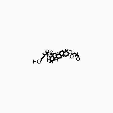 CC(C[CH]CO)C(=O)NC(=O)[C@]12CCC(C)(C)C=C1[C@H]1CCC3[C@@]4(C)CC[C@H](OC(=O)CC(C)(C)C=O)C(C)(C)C4CC[C@@]3(C)[C@]1(C)CC2